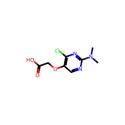 CN(C)c1ncc(OCC(=O)O)c(Cl)n1